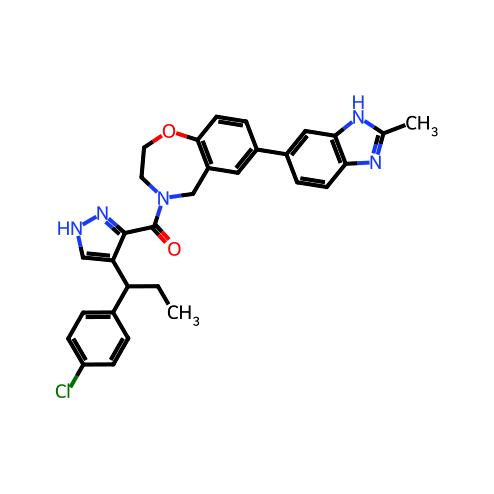 CCC(c1ccc(Cl)cc1)c1c[nH]nc1C(=O)N1CCOc2ccc(-c3ccc4nc(C)[nH]c4c3)cc2C1